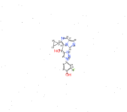 Oc1ccc(-n2cc(C(O)c3c(C4CC4)ncc4cncn34)nn2)cc1F